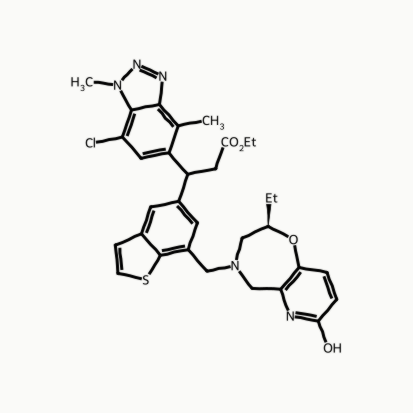 CCOC(=O)CC(c1cc(CN2Cc3nc(O)ccc3O[C@H](CC)C2)c2sccc2c1)c1cc(Cl)c2c(nnn2C)c1C